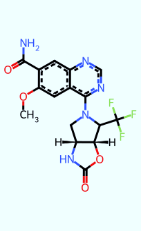 COc1cc2c(N3C[C@H]4NC(=O)O[C@H]4C3C(F)(F)F)ncnc2cc1C(N)=O